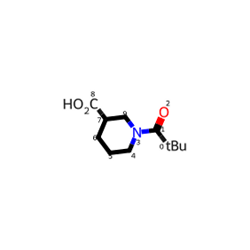 CC(C)(C)C(=O)N1CCCC(C(=O)O)C1